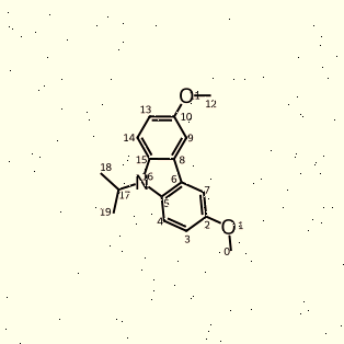 COc1ccc2c(c1)c1cc(OC)ccc1n2C(C)C